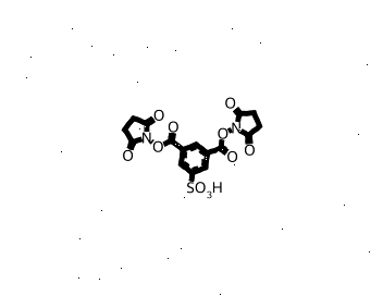 O=C(ON1C(=O)CCC1=O)c1cc(C(=O)ON2C(=O)CCC2=O)cc(S(=O)(=O)O)c1